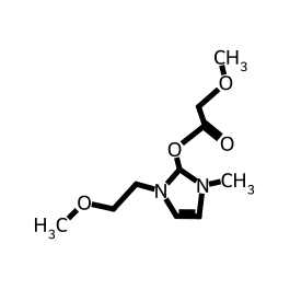 COCCN1C=CN(C)C1OC(=O)COC